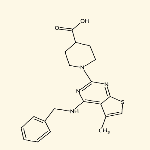 Cc1csc2nc(N3CCC(C(=O)O)CC3)nc(NCc3ccccc3)c12